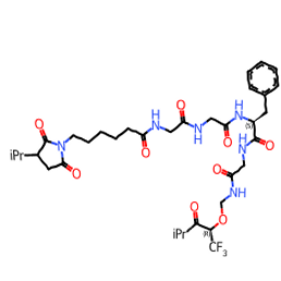 CC(C)C(=O)[C@@H](OCNC(=O)CNC(=O)[C@H](Cc1ccccc1)NC(=O)CNC(=O)CNC(=O)CCCCCN1C(=O)CC(C(C)C)C1=O)C(F)(F)F